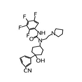 N#Cc1cccc(C2(O)CCC(N(CCN3CCCC3)C(=O)Nc3cc(F)c(F)c(F)c3F)CC2)c1